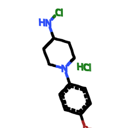 Cl.ClNC1CCN(c2ccc(Br)cc2)CC1